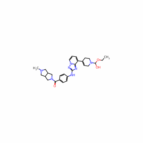 CCOC(O)N1CC=C(c2cccn3nc(Nc4ccc(C(=O)N5CC6CN(C)CC6C5)cc4)nc23)CC1